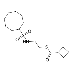 O=C(SCCNS(=O)(=O)C1CCCCCCC1)C1CCC1